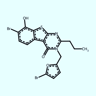 CCCc1nc2sc3c(O)c(Br)ccc3c2c(=O)n1Cc1ccc(Br)o1